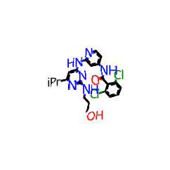 CC(C)c1cc(Nc2cc(NC(=O)c3c(Cl)cccc3Cl)ccn2)nc(NCCCO)n1